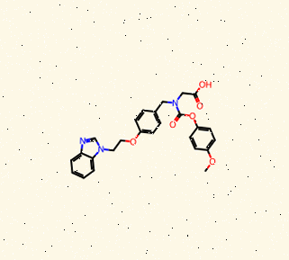 COc1ccc(OC(=O)N(CC(=O)O)Cc2ccc(OCCn3cnc4ccccc43)cc2)cc1